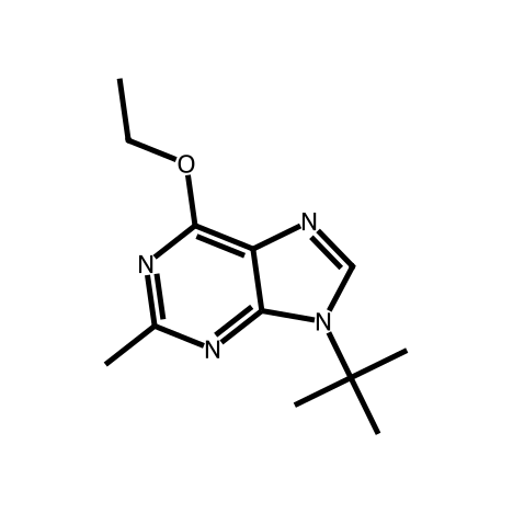 CCOc1nc(C)nc2c1ncn2C(C)(C)C